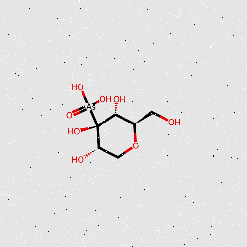 O=[As](O)(O)[C@]1(O)[C@H](O)[C@@H](CO)OC[C@@H]1O